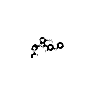 C=CC(=O)N1CC2CC1C(n1nc(-c3ccc(Oc4ccccc4)cc3F)c3c(N)ncnc31)C2